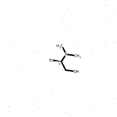 CC[C@H](CO)N(C)C